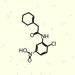 O=C(CC1=CCCCC1)Nc1cc([N+](=O)O)ccc1Cl